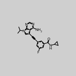 CC(C)n1cc(C#Cc2cc(F)cc(C(=O)NC3CC3)c2)c2c(N)ncnc21